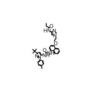 CCC(=O)Nc1cn(CCOc2ccc(NC(=O)Nc3cc(C(C)(C)C)nn3-c3ccc(C)cc3)c3ccccc23)cn1